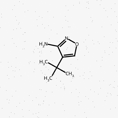 CC(C)(C)c1conc1N